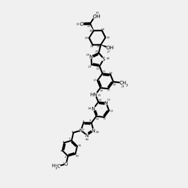 COc1ccc(Cn2cc(-c3ccnc(Nc4cc(C)cc(-c5cnc([C@]6(O)CC[C@@H](C(=O)O)CC6)s5)c4)n3)nn2)cc1